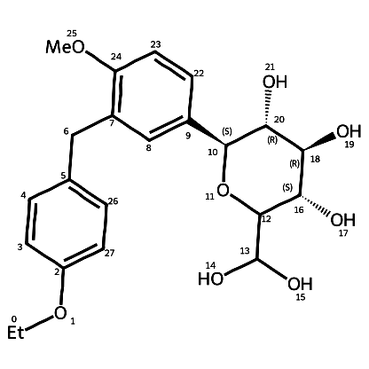 CCOc1ccc(Cc2cc([C@@H]3OC(C(O)O)[C@@H](O)[C@H](O)[C@H]3O)ccc2OC)cc1